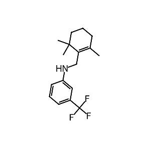 CC1=C(CNc2cccc(C(F)(F)F)c2)C(C)(C)CCC1